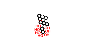 CC1=C(c2c(C)ccc3ccccc23)C(c2c3ccccc3c(-c3c(O)c(O)c4c(O)c(O)c(O)c(O)c4c3O)c3ccccc23)=CCC1